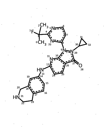 CC(C)(F)c1nccc(-n2c3nc(Nc4ccc5c(c4)CNCC5)ccc3c(=O)n2C2CC2)n1